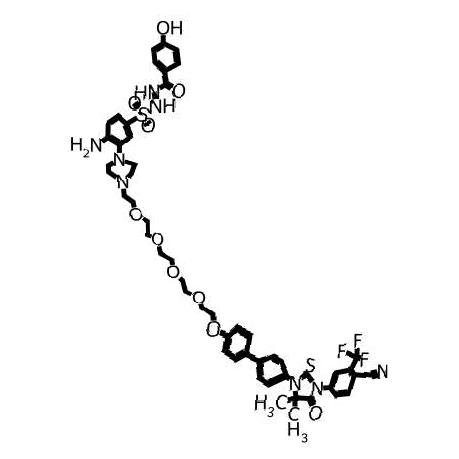 CC1(C)C(=O)N(c2ccc(C#N)c(C(F)(F)F)c2)C(=S)N1c1ccc(-c2ccc(OCCOCCOCCOCCOCCN3CCN(c4cc(S(=O)(=O)NNC(=O)c5ccc(O)cc5)ccc4N)CC3)cc2)cc1